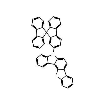 c1ccc2c(c1)-c1ccccc1C21c2ccccc2-c2ccc(-n3c4ccccc4c4c5sc6ccccc6c5ccc43)cc21